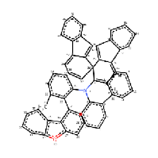 CC1=C(N(c2ccccc2-c2ccccc2)c2cccc(C)c2-c2cccc3oc4ccccc4c23)C2(C=CC=C3C2=Cc2ccccc23)C2=Cc3ccccc3C2=C1